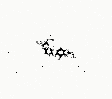 CCOc1nc2ccc(Oc3cnc(O[C@@H](C)[C@H](C)NC(C)=O)cn3)c(F)c2s1